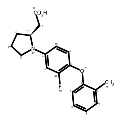 Cc1ccccc1Oc1ccc(N2CCC[C@H]2CC(=O)O)cc1F